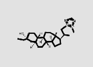 CC[C@@]1(O)CC[C@H]2[C@@H](CC[C@@H]3[C@@H]2CC[C@]2(C)[C@@H](C(C)Cn4ncn[n+]4C)CC[C@@H]32)C1